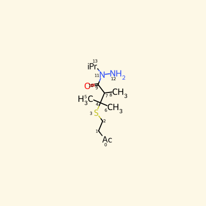 CC(=O)CCSC(C)(C)C(C)C(=O)N(N)C(C)C